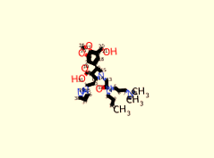 CCCCN(CCCN(C)C)C(=O)CN1C[C@H](c2cc(CO)c3c(c2)OCO3)[C@@H](C(=O)O)[C@@H]1CCn1cccn1